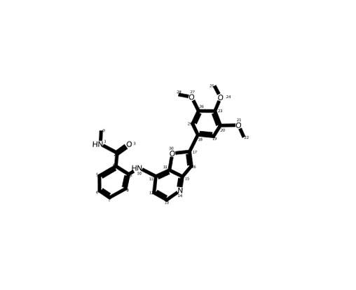 CNC(=O)c1ccccc1Nc1ccnc2cc(-c3cc(OC)c(OC)c(OC)c3)oc12